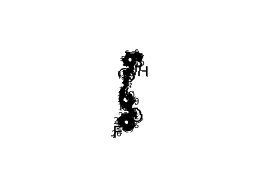 O=C(Nc1cccc2ccsc12)OCCCN1CCC(C(=O)c2ccc(F)cc2)CC1